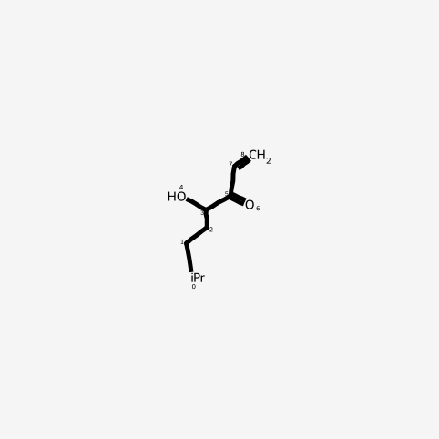 [CH2]C(C)CCC(O)C(=O)C=C